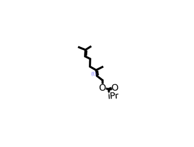 CC(C)=CCC/C(C)=C/COC(=O)C(C)C